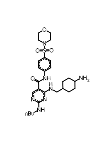 CCCCNc1ncc(C(=O)Nc2ccc(S(=O)(=O)N3CCOCC3)cc2)c(NCC2CCC(N)CC2)n1